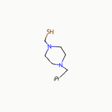 CC(C)CN1CCN(CS)CC1